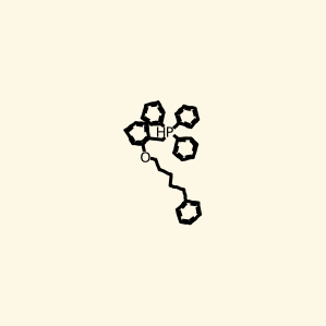 c1ccc(CCCCCOc2ccccc2C[PH](c2ccccc2)(c2ccccc2)c2ccccc2)cc1